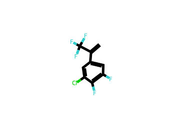 C=C(c1cc(F)c(F)c(Cl)c1)C(F)(F)F